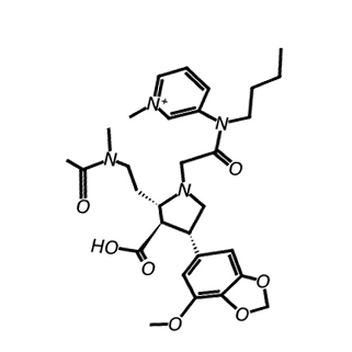 CCCCN(C(=O)CN1C[C@H](c2cc(OC)c3c(c2)OCO3)[C@@H](C(=O)O)[C@@H]1CCN(C)C(C)=O)c1ccc[n+](C)c1